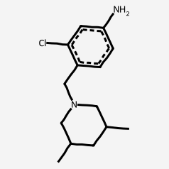 CC1CC(C)CN(Cc2ccc(N)cc2Cl)C1